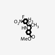 COC(=O)c1ccc2c(c1)CC(C)(C)C(c1ccc(F)c([N+](=O)[O-])c1)N2